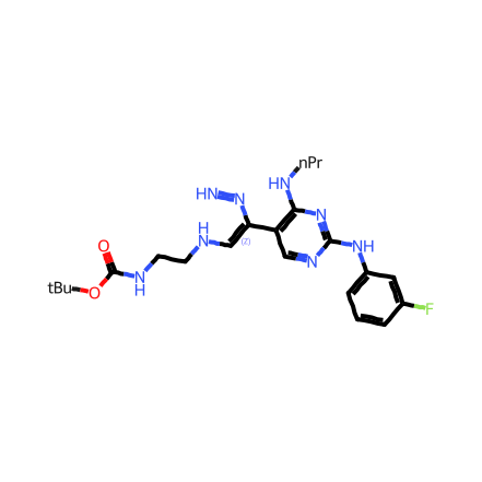 CCCNc1nc(Nc2cccc(F)c2)ncc1/C(=C/NCCNC(=O)OC(C)(C)C)N=N